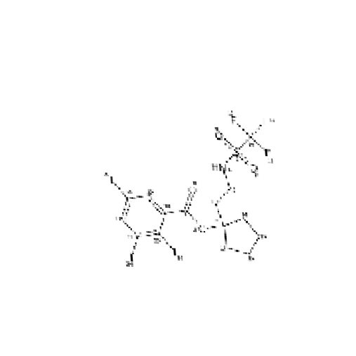 O=C(OC1(CCNS(=O)(=O)C(F)(F)F)CCCC1)c1cc(I)cc(I)c1I